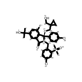 CC(C)(O)c1cc(F)c2c(c1)C(=O)N(Cc1ccc(Cl)cc1P(C)(C)=O)[C@@]2(OCC1(CO)CC1)c1ccc(Cl)cc1